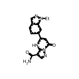 CCn1ncc2ccc(-c3cc(=O)n4ncc(C(N)=O)c4[nH]3)cc21